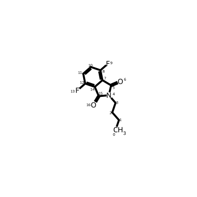 CCCCN1C(=O)c2c(F)ccc(F)c2C1=O